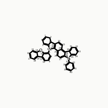 C1=CCC2C(=C1)N(c1cccc3c1oc1ccccc13)c1c2ccc2c1ccc1c2c2ccccc2n1-c1ccccc1